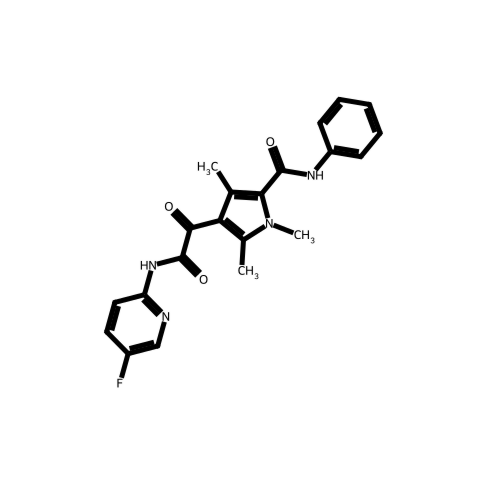 Cc1c(C(=O)C(=O)Nc2ccc(F)cn2)c(C)n(C)c1C(=O)Nc1ccccc1